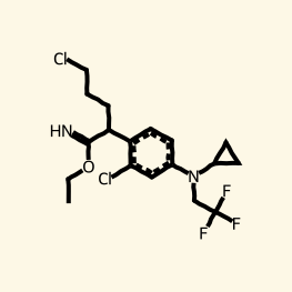 CCOC(=N)C(CCCCl)c1ccc(N(CC(F)(F)F)C2CC2)cc1Cl